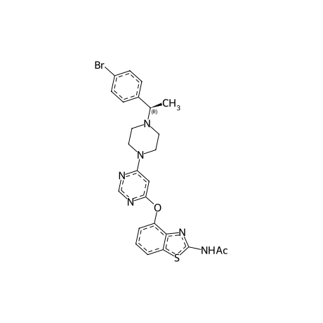 CC(=O)Nc1nc2c(Oc3cc(N4CCN([C@H](C)c5ccc(Br)cc5)CC4)ncn3)cccc2s1